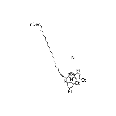 CCCCCCCCCCCCCCCCCCCCCCCCCCCCC#CC(=Nc1cc(CC)cc(CC)c1)C(CCCC)=Nc1cc(CC)cc(CC)c1.[Ni]